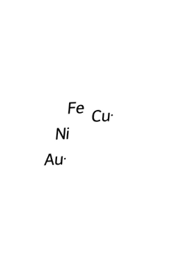 [Au].[Cu].[Fe].[Ni]